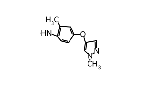 Cc1cc(Oc2cnn(C)c2)ccc1[NH]